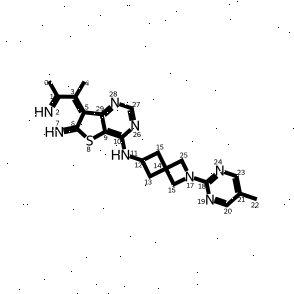 CC(=N)/C(C)=C1\C(=N)Sc2c(NC3CC4(C3)CN(c3ncc(C)cn3)C4)ncnc21